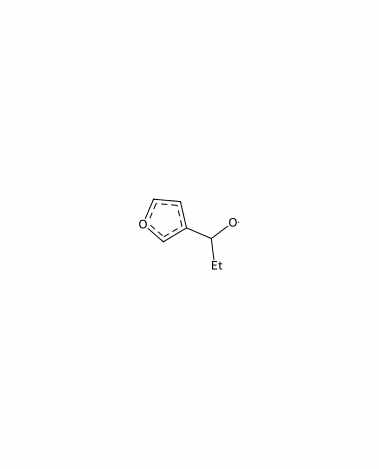 CCC([O])c1ccoc1